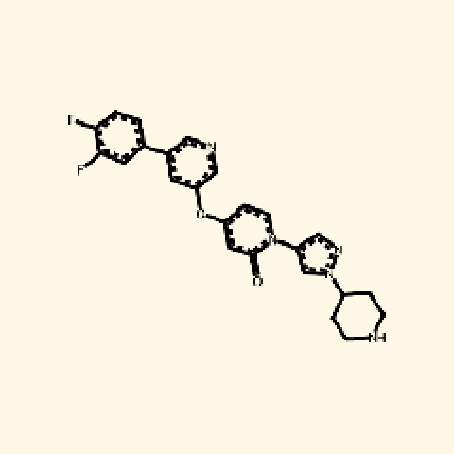 O=c1cc(Oc2cncc(-c3ccc(F)c(F)c3)c2)ccn1-c1cnn(C2CCNCC2)c1